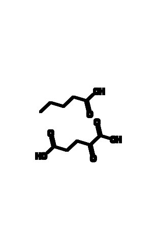 CCCCC(=O)O.O=C(O)CCC(=O)C(=O)O